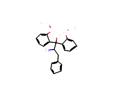 COc1ccccc1C(O)(c1ccccc1OC)C(N)Cc1ccccc1